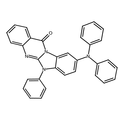 O=c1c2ccccc2nc2n(-c3ccccc3)c3ccc(N(c4ccccc4)c4ccccc4)cc3n12